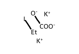 CCI.O=C([O-])[O-].[K+].[K+]